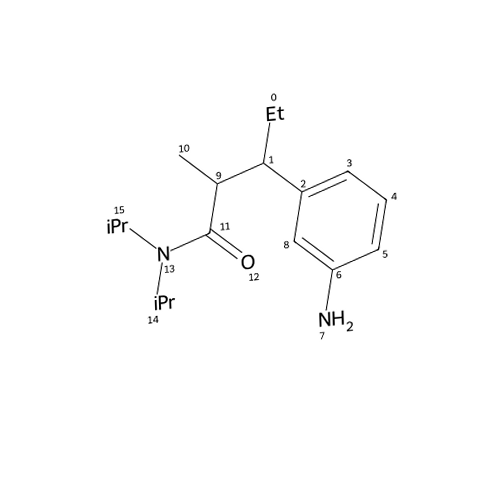 CCC(c1cccc(N)c1)C(C)C(=O)N(C(C)C)C(C)C